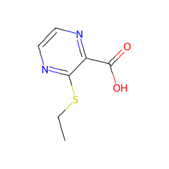 CCSc1nccnc1C(=O)O